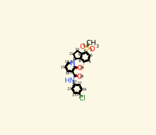 CS(=O)(=O)c1cccc2c1CCC2n1cccc(C(=O)Nc2ccc(Cl)cc2)c1=O